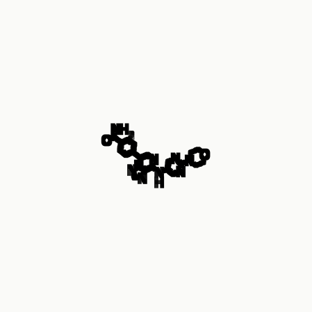 NC(=O)c1ccc(-c2cnc(Nc3cnc(N4CCOCC4)nc3)c3ncnn23)cc1